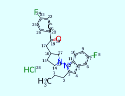 CCCc1cc2cc(F)ccc2n1N1CCC(CC(=O)c2ccc(F)cc2)C1.Cl